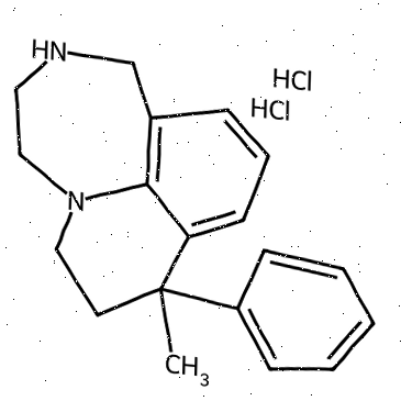 CC1(c2ccccc2)CCN2CCNCc3cccc1c32.Cl.Cl